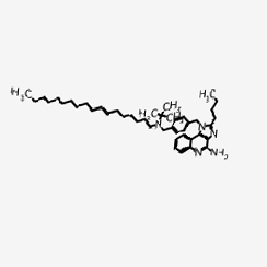 CCCCCCCCCCCCCCCCCCN(Cc1ccc(Cn2c(CCCC)nc3c(N)nc4ccccc4c32)cc1)C(C)(C)C